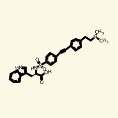 CN(C)CCc1ccc(C#Cc2ccc(S(=O)(=O)N[C@H](Cc3c[nH]c4ccccc34)C(=O)O)cc2)cc1